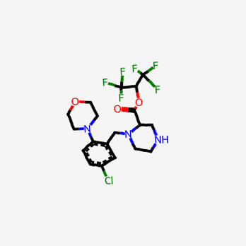 O=C(OC(C(F)(F)F)C(F)(F)F)C1CNCCN1Cc1cc(Cl)ccc1N1CCOCC1